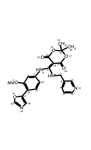 COc1cc(NC(NCc2cccnc2)=C2C(=O)OC(C)(C)OC2=O)ccc1-c1cnco1